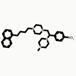 CN1CCN(C(CN2CCN(CCCCc3cccc4ccccc34)CC2)c2ccc([N+](=O)[O-])cc2)CC1